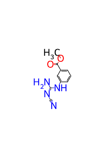 COC(=O)c1cccc(N/C(N)=N\C#N)c1